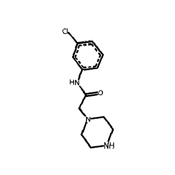 O=C(CN1CCNCC1)Nc1cccc(Cl)c1